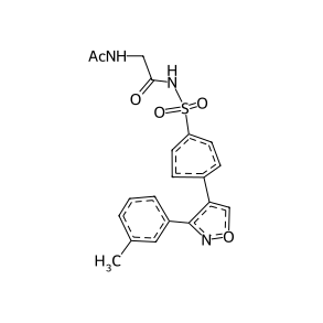 CC(=O)NCC(=O)NS(=O)(=O)c1ccc(-c2conc2-c2cccc(C)c2)cc1